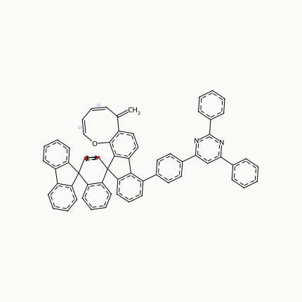 C=C1/C=C\C=C/Oc2c1ccc1c2C2(c3ccccc3C3(c4ccccc4-c4ccccc43)c3ccccc32)c2cccc(-c3ccc(-c4cc(-c5ccccc5)nc(-c5ccccc5)n4)cc3)c2-1